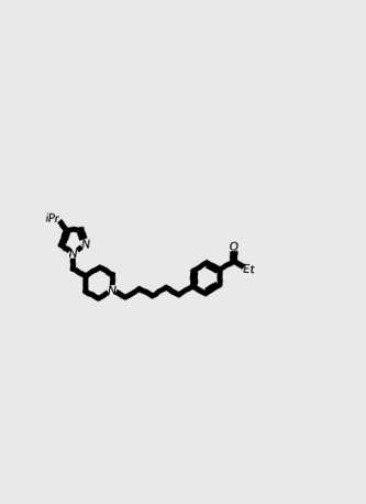 CCC(=O)c1ccc(CCCCCN2CCC(Cn3cc(C(C)C)cn3)CC2)cc1